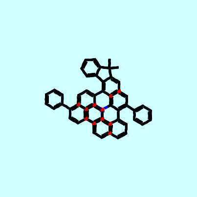 CC1(C)c2ccccc2-c2c(-c3ccccc3N(c3ccccc3-c3ccc(-c4ccccc4)cc3)c3cccc(-c4ccccc4)c3-c3ccccc3-c3ccccc3)cccc21